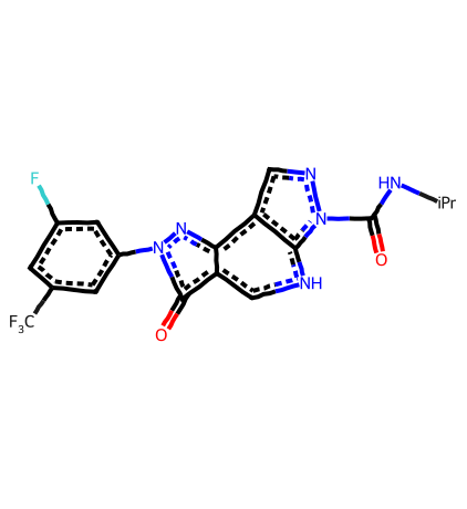 CC(C)NC(=O)n1ncc2c3nn(-c4cc(F)cc(C(F)(F)F)c4)c(=O)c-3c[nH]c21